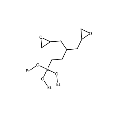 CCO[Si](CCC(CC1CO1)CC1CO1)(OCC)OCC